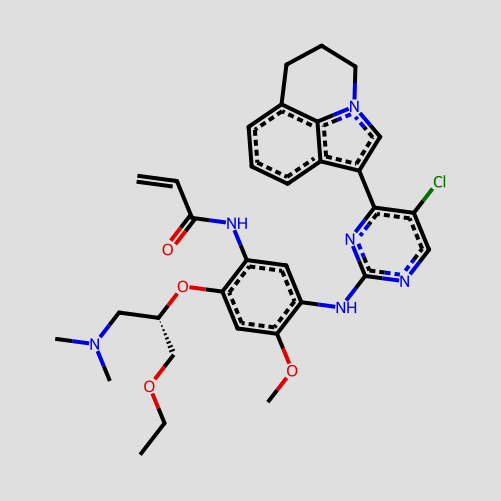 C=CC(=O)Nc1cc(Nc2ncc(Cl)c(-c3cn4c5c(cccc35)CCC4)n2)c(OC)cc1O[C@H](COCC)CN(C)C